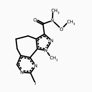 CON(C)C(=O)c1nn(C)c2c1CCCc1cnc(I)nc1-2